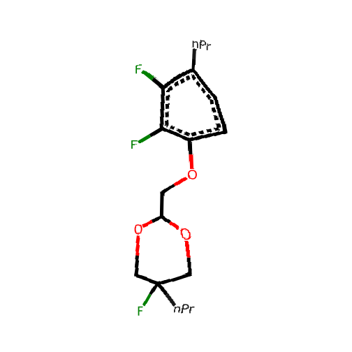 CCCc1ccc(OCC2OCC(F)(CCC)CO2)c(F)c1F